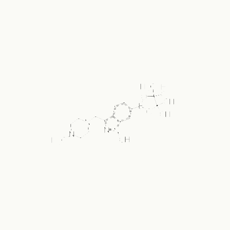 CN1CCN(Cc2nn(C)c3cc(B4OC(C)(C)C(C)(C)O4)ccc23)CC1